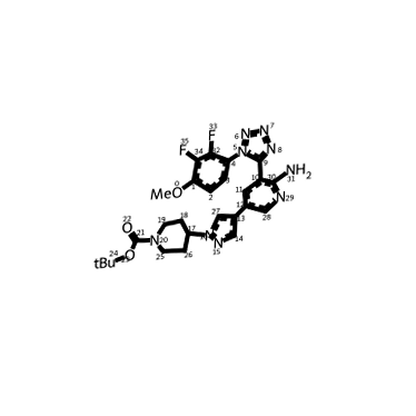 COc1ccc(-n2nnnc2-c2cc(-c3cnn(C4CCN(C(=O)OC(C)(C)C)CC4)c3)cnc2N)c(F)c1F